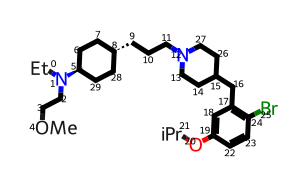 CCN(CCOC)[C@H]1CC[C@H](CCCN2CCC(Cc3cc(OC(C)C)ccc3Br)CC2)CC1